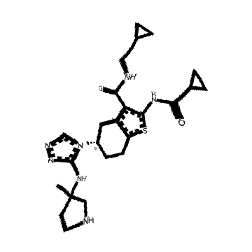 CC1(Nc2nncn2[C@H]2CCc3sc(NC(=O)C4CC4)c(C(=O)NCC4CC4)c3C2)CCNC1